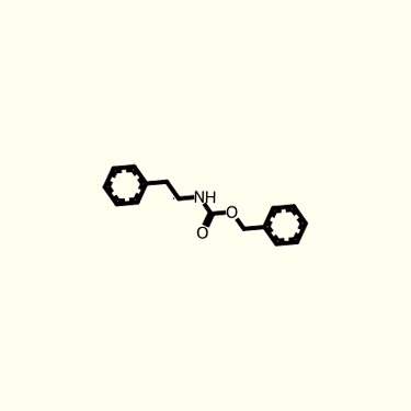 O=C(N[CH]Cc1ccccc1)OCc1ccccc1